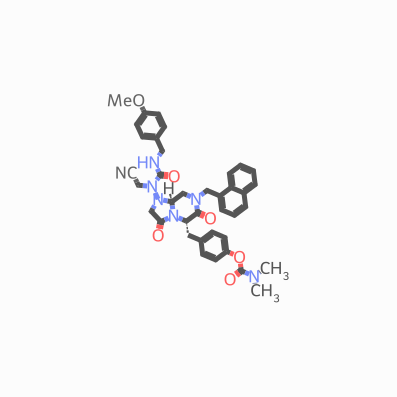 COc1ccc(CNC(=O)N(CC#N)N2CC(=O)N3[C@@H](Cc4ccc(OC(=O)N(C)C)cc4)C(=O)N(Cc4cccc5ccccc45)C[C@@H]32)cc1